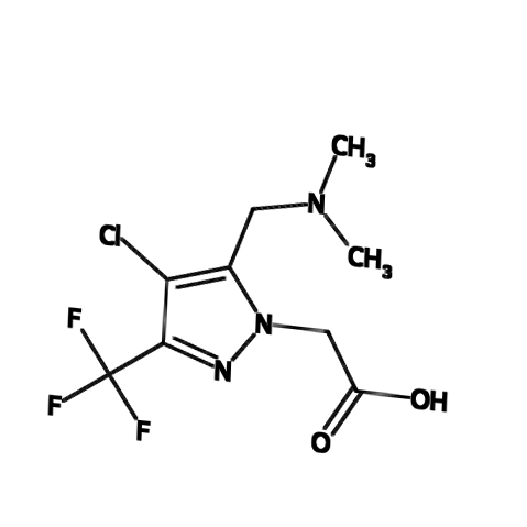 CN(C)Cc1c(Cl)c(C(F)(F)F)nn1CC(=O)O